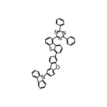 c1ccc(-c2nc(-c3ccccc3)nc(-c3cccc4sc5c(-c6ccc7c(c6)oc6ccc(-n8c9ccccc9c9ccccc98)cc67)cccc5c34)n2)cc1